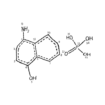 Nc1ccc(O)c2ccccc12.O=P(O)(O)O